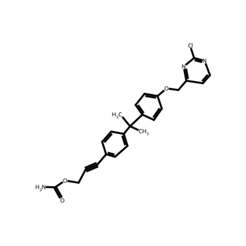 CC(C)(c1ccc(C#CCOC(N)=O)cc1)c1ccc(OCc2ccnc(Cl)n2)cc1